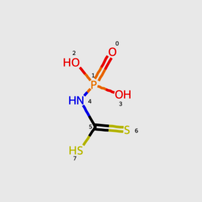 O=P(O)(O)NC(=S)S